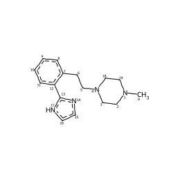 CN1CCN(CCc2ccccc2-c2ncc[nH]2)CC1